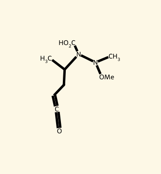 CON(C)N(C(=O)O)C(C)CC=C=O